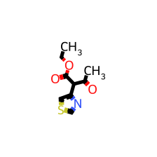 CCOC(=O)C(C(C)=O)c1cscn1